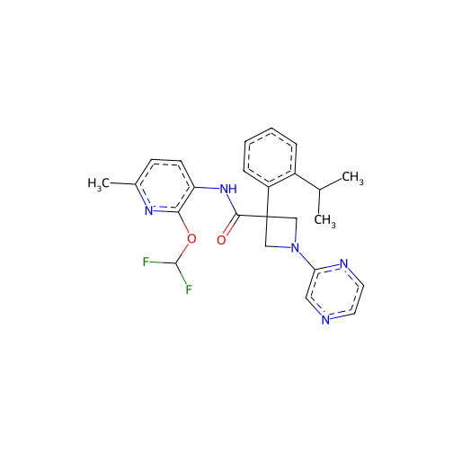 Cc1ccc(NC(=O)C2(c3ccccc3C(C)C)CN(c3cnccn3)C2)c(OC(F)F)n1